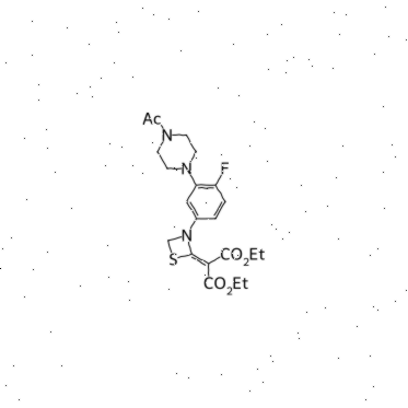 CCOC(=O)C(C(=O)OCC)=C1SCN1c1ccc(F)c(N2CCN(C(C)=O)CC2)c1